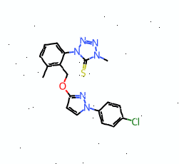 Cc1cccc(-n2nnn(C)c2=S)c1COc1ccn(-c2ccc(Cl)cc2)n1